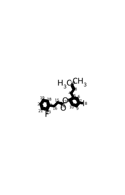 CC(C)=CCc1cc(I)ccc1OC(=O)CCc1ccccc1F